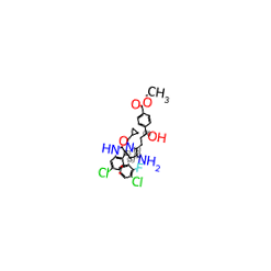 CCOC(=O)c1ccc([C@H](O)CC[C@H]2[C@@H](N)[C@H](c3cccc(Cl)c3F)[C@]3(C(=O)Nc4cc(Cl)ccc43)N2CC2CC2)cc1